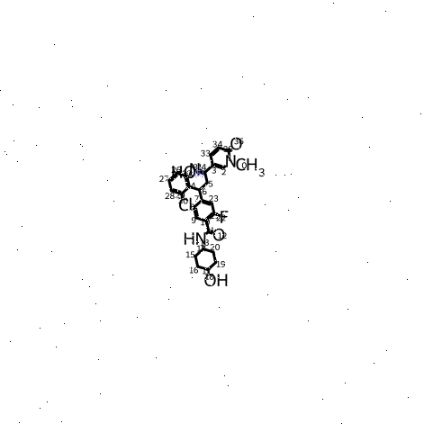 Cn1cc(/C(CC(c2ccc(C(=O)N[C@H]3CC[C@H](O)CC3)c(F)c2)c2ccccc2Cl)=N/O)ccc1=O